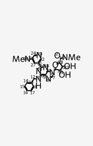 CNC(=O)[C@@H]1OC(n2cnc3c(NCc4ccccc4)nc(-c4cncc(NC)c4)nc32)C(O)C1O